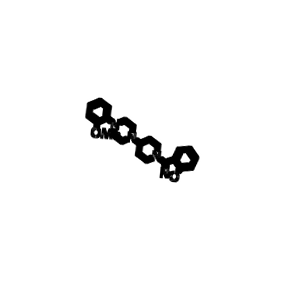 COc1ccccc1N1CCN(C2CCN(c3noc4ccccc34)CC2)CC1